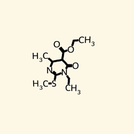 CCOC(=O)C1C(=O)N(CC)C(SC)=NC1C